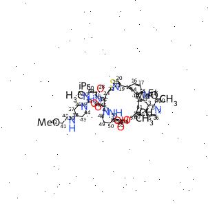 CCn1c(-c2cccnc2[C@H](C)OC)c2c3cc(ccc31)-c1csc(n1)C[C@H](NC(=O)[C@H](C(C)C)N(C)C(=O)N1CCC(NCCOC)CC1)C(=O)N1CCC[C@@](O)(N1)C(=O)OCC(C)(C)C2